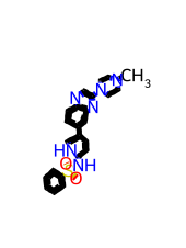 CN1CCN(c2cnc3ccc(C4=CNC(NS(=O)(=O)c5ccccc5)C=C4)cc3n2)CC1